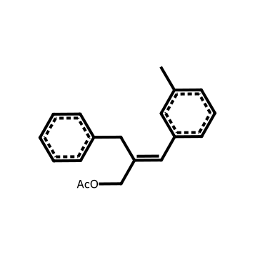 CC(=O)OCC(=Cc1cccc(C)c1)Cc1ccccc1